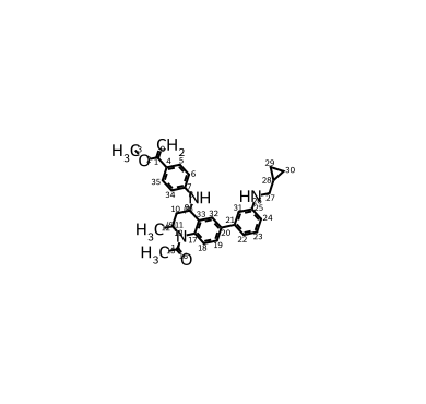 C=C(OC)c1ccc(N[C@@H]2C[C@H](C)N(C(C)=O)c3ccc(-c4cccc(NCC5CC5)c4)cc32)cc1